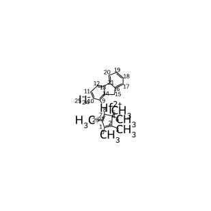 CC1=C(C)C(C)(C)[C]([Hf+2][c]2cccc3c2Cc2ccccc2-3)=C1C.[I-].[I-]